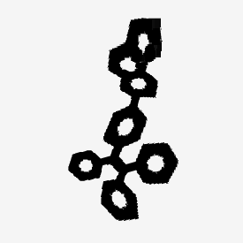 c1ccc(C(=C(c2ccccc2)c2ccc(-c3ccc4c(ccc5cnnn54)c3)cc2)c2ccccc2)cc1